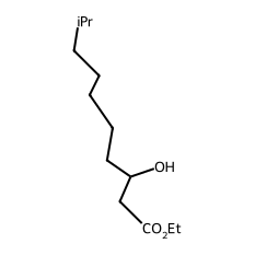 CCOC(=O)CC(O)CCCCCC(C)C